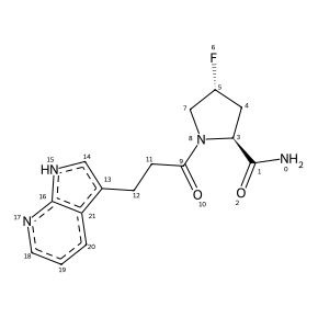 NC(=O)[C@@H]1C[C@@H](F)CN1C(=O)CCc1c[nH]c2ncccc12